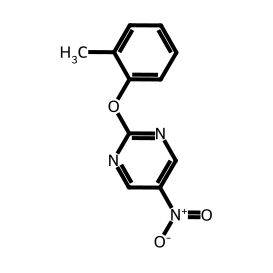 Cc1ccccc1Oc1ncc([N+](=O)[O-])cn1